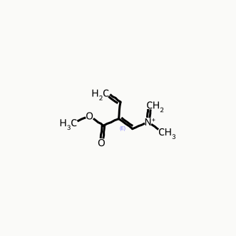 C=C/C(=C\[N+](=C)C)C(=O)OC